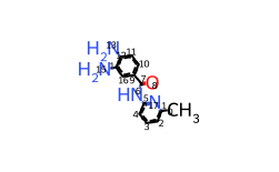 Cc1cccc(NC(=O)c2ccc(N)c(N)c2)n1